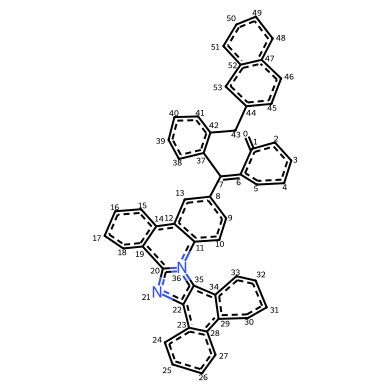 C=c1cccc/c1=C(\c1ccc2c(c1)c1ccccc1c1nc3c4ccccc4c4ccccc4c3n21)c1ccccc1Cc1ccc2ccccc2c1